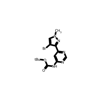 Cn1cc(Br)c(-c2cc(NC(=O)OC(C)(C)C)ncn2)n1